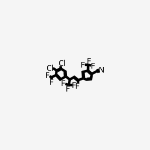 N#Cc1ccc(C(F)=CC(c2cc(Cl)c(Cl)c(C(F)F)c2)C(F)(F)F)cc1C(F)(F)F